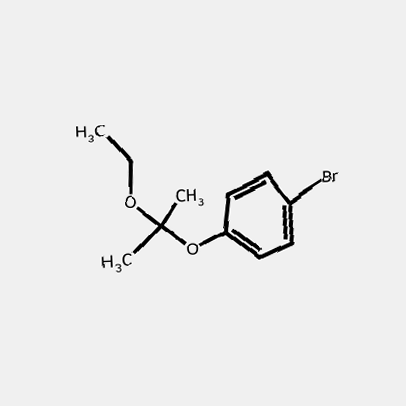 CCOC(C)(C)Oc1ccc(Br)cc1